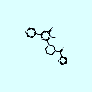 Cn1c(N2CCCC(C(=O)c3cccs3)C2)nc(-c2ccncc2)cc1=O